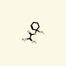 C=C(C)C(=O)OC1(C)C=CCCC1